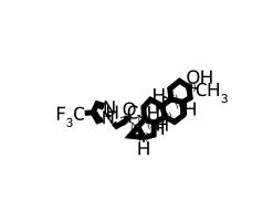 C[C@@]1(O)CC[C@H]2[C@H](CC[C@@H]3[C@@H]2CC[C@@]2(C)[C@H]3C[C@H]3C[C@]32C(=O)Cn2cc(C(F)(F)F)cn2)C1